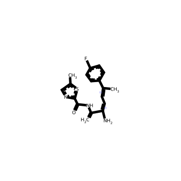 C=C(NC(=O)c1ncc(C)s1)/C(N)=C\C=C(/C)c1ccc(F)cc1